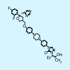 CC[C@@H]([C@@H](C)O)n1ncn(-c2ccc(N3CCN(c4ccc(OCC5CO[C@@](Cn6cncn6)(c6ccc(F)cc6F)C5)cc4)CC3)cc2)c1=O